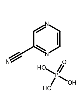 N#Cc1cnccn1.O=P(O)(O)O